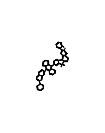 CC1(C)c2cc(-c3c4ccccc4c(-c4ccc5ccc(C6C=CC=CC6)cc5c4)c4ccccc34)ccc2-c2c1ccc1cc3oc4ccccc4c3cc21